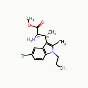 CCCn1c(C)c([C@@H](C)[C@@H](N)C(=O)OC)c2cc(Cl)ccc21